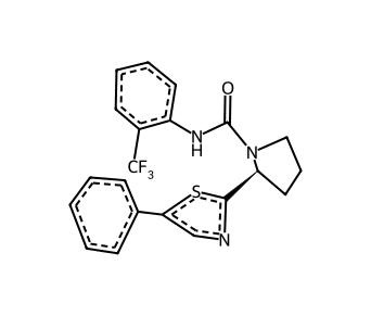 O=C(Nc1ccccc1C(F)(F)F)N1CCC[C@H]1c1ncc(-c2ccccc2)s1